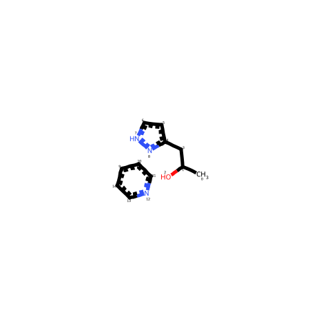 CC(O)Cc1cc[nH]n1.c1ccncc1